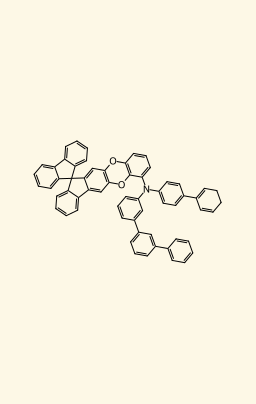 C1=CC(c2ccc(N(c3cccc(-c4cccc(-c5ccccc5)c4)c3)c3cccc4c3Oc3cc5c(cc3O4)C3(c4ccccc4-c4ccccc43)c3ccccc3-5)cc2)=CCC1